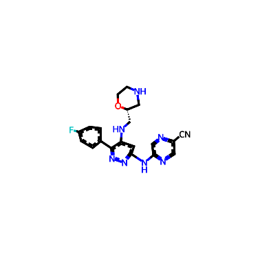 N#Cc1cnc(Nc2cc(NC[C@H]3CNCCO3)c(-c3ccc(F)cc3)nn2)cn1